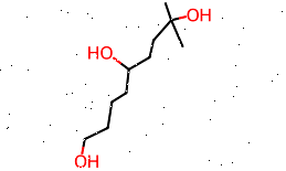 CC(C)(O)CCC(O)CCCCO